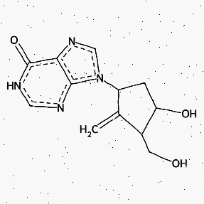 C=C1C(CO)C(O)CC1n1cnc2c(=O)[nH]cnc21